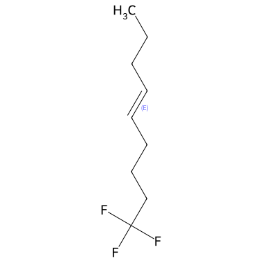 CCC/C=C/CCCC(F)(F)F